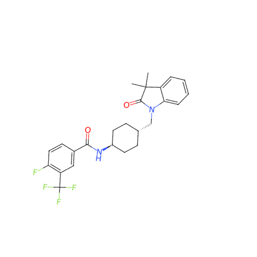 CC1(C)C(=O)N(C[C@H]2CC[C@H](NC(=O)c3ccc(F)c(C(F)(F)F)c3)CC2)c2ccccc21